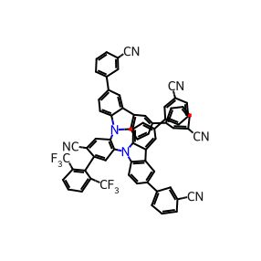 N#Cc1cccc(-c2ccc3c(c2)c2cc(-c4cccc(C#N)c4)ccc2n3-c2cc(C#N)c(-c3c(C(F)(F)F)cccc3C(F)(F)F)cc2-n2c3ccc(-c4cccc(C#N)c4)cc3c3cc(-c4cccc(C#N)c4)ccc32)c1